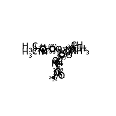 CC(C)c1ccc(-c2ccc(Oc3cc(-c4nc([C@H]5CC(=O)N(C6CC6)C5)no4)ccc3CN3CC(C)(C)NC3=O)cc2)nn1